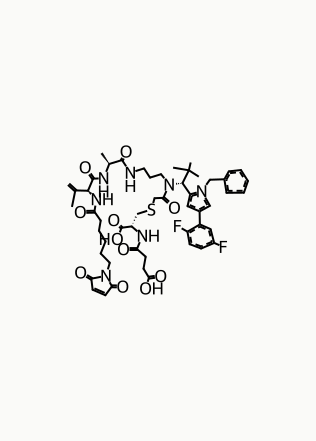 C=C(C)[C@H](NC(=O)CCCCCN1C(=O)C=CC1=O)C(=O)N[C@@H](C)C(=O)NCCCN(C(=O)CSC[C@H](NC(=O)CCC(=O)O)C(=O)O)[C@@H](c1cc(-c2cc(F)ccc2F)cn1Cc1ccccc1)C(C)(C)C